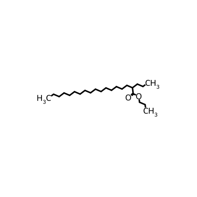 CCCCCCCCCCCCCCCCC(CCC)C(=O)OCCC